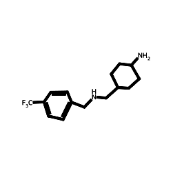 NC1CCC(CNCc2ccc(C(F)(F)F)cc2)CC1